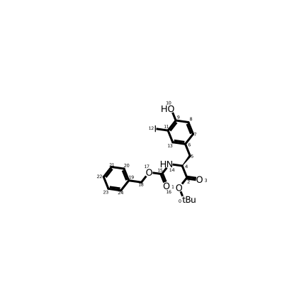 CC(C)(C)OC(=O)[C@H](Cc1ccc(O)c(I)c1)NC(=O)OCc1ccccc1